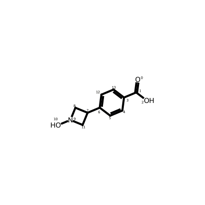 O=C(O)c1ccc(C2CN(O)C2)cc1